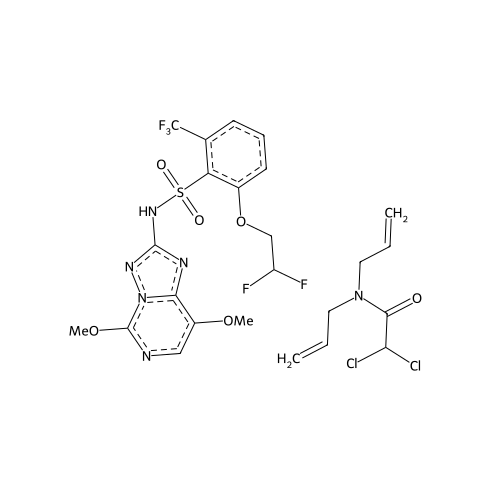 C=CCN(CC=C)C(=O)C(Cl)Cl.COc1cnc(OC)n2nc(NS(=O)(=O)c3c(OCC(F)F)cccc3C(F)(F)F)nc12